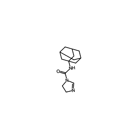 O=C(NC12CC3CC(CC(C3)C1)C2)N1C=NCC1